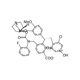 COc1ccc([C@H](Cc2c(Cl)c[n+](O)cc2Cl)c2c(CN(C(=O)O[C@H]3CN4CCC3CC4)c3ccccc3F)ccc(C(=O)[O-])c2F)cc1OC